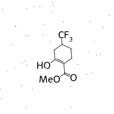 COC(=O)C1=C(O)CC(C(F)(F)F)CC1